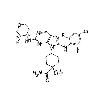 CC1(C(N)=O)CCC(n2c(Nc3c(F)cc(Cl)cc3F)nc3cnc(N[C@H]4CCOC[C@H]4F)nc32)CC1